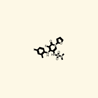 Cc1cc(I)ccc1Nc1c(NS(=O)(=O)N(C)C)cn(-c2ccco2)c(=O)c1F